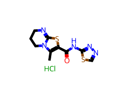 CC1=C(C(=O)Nc2nncs2)SC2=NCCCN21.Cl